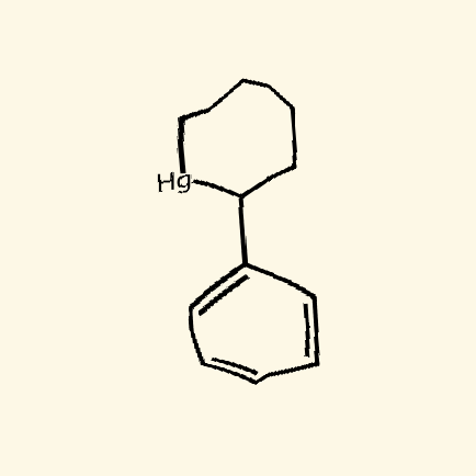 c1ccc([CH]2CCC[CH2][Hg]2)cc1